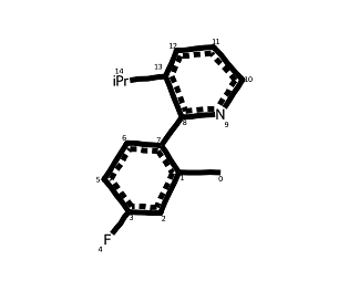 Cc1cc(F)ccc1-c1ncccc1C(C)C